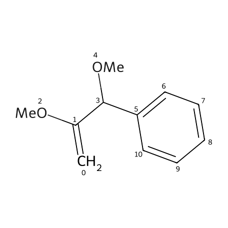 C=C(OC)C(OC)c1ccccc1